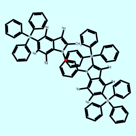 [2H]c1c([Si](c2ccccc2)(c2ccccc2)c2ccccc2)c([2H])c2c([2H])c(C)n(-c3cccc(-n4c([Si](c5ccccc5)(c5ccccc5)c5ccccc5)c([2H])c5c([2H])c([Si](c6ccccc6)(c6ccccc6)c6ccccc6)c([2H])c([2H])c54)c3)c2c1[2H]